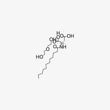 CCCCCCCCCCCC(=O)N[C@@H](CC(=O)O)C(=O)O.OCCOCCO